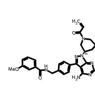 C=CC(=O)N1CCC[C@@H](n2nc(-c3ccc(CNC(=O)c4cccc(OC)c4)cc3)c3c(N)ncnc32)C1